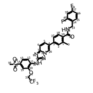 Cc1cc(-c2ccc3nc(Nc4ccc(S(C)(=O)=O)cc4OCC(F)(F)F)nn3c2)ccc1C(=O)NCc1ccc(F)cc1F